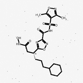 Cc1noc(C)c1S(=O)(=O)NC(=O)c1noc([C@H](CCCC2CCCCC2)CC(=O)NO)n1